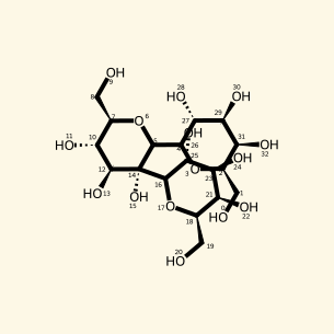 OC[C@H]1OC([C]2O[C@H](CO)[C@@H](O)[C@H](O)[C@]2(O)C2O[C@H](CO)[C@H](O)[C@H](O)[C@H]2O)[C@H](O)[C@@H](O)[C@H]1O